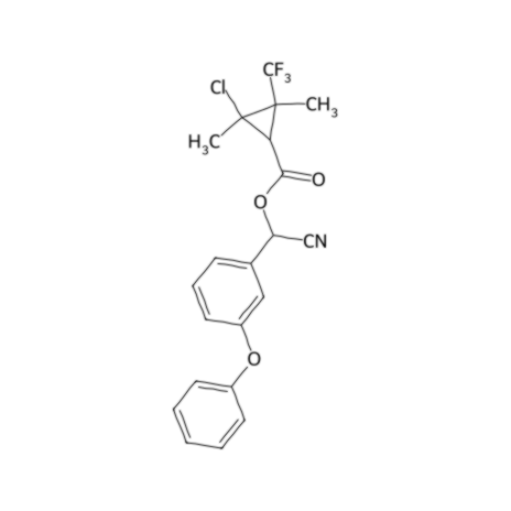 CC1(Cl)C(C(=O)OC(C#N)c2cccc(Oc3ccccc3)c2)C1(C)C(F)(F)F